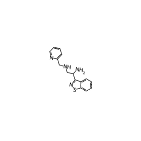 NC(CNCc1ccccn1)c1nsc2ccccc12